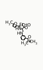 CC[C@@H](NC(CNc1cccc(C(=O)N(C)C)c1)C(=O)C=O)c1ccc(C)o1